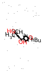 CCCCOc1ccc(C(O)C#CC(C)(C)O)cc1